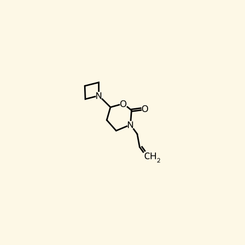 C=CCN1CCC(N2CCC2)OC1=O